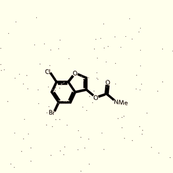 CNC(=O)Oc1coc2c(Cl)cc(Br)cc12